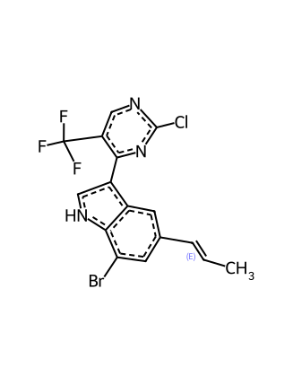 C/C=C/c1cc(Br)c2[nH]cc(-c3nc(Cl)ncc3C(F)(F)F)c2c1